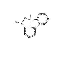 CC12OB(O)c3cccc(c31)-c1ccccc12